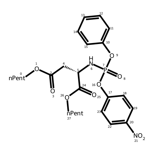 CCCCCOC(=O)C[C@H](NP(=O)(Oc1ccccc1)Oc1ccc([N+](=O)[O-])cc1)C(=O)OCCCCC